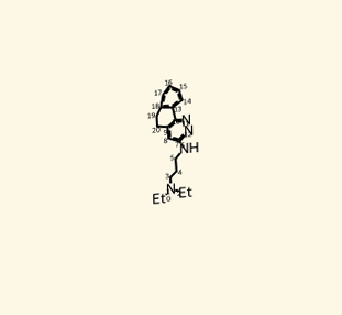 CCN(CC)CCCNc1cc2c(nn1)-c1ccccc1CC2